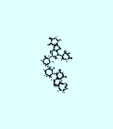 c1ccc(-c2nc(-c3cccc(-c4cccc(-c5cccc6c5ccc5cccnc56)c4)c3)nc3c2sc2ccccc23)cc1